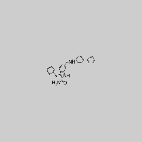 NC(=O)c1[nH]c2cc(CNCc3ccc(-c4ccccc4)cc3)ccc2c1Sc1ccccc1